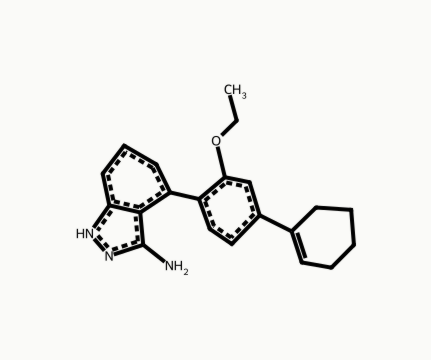 CCOc1cc(C2=CCCCC2)ccc1-c1cccc2[nH]nc(N)c12